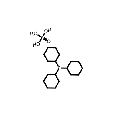 C1CCC(P(C2CCCCC2)C2CCCCC2)CC1.O=P(O)(O)O